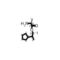 CC(C1CCCC1)[C@@H](C)OC(=O)[C@H](C)N